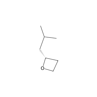 CC(C)C[C@@H]1CCO1